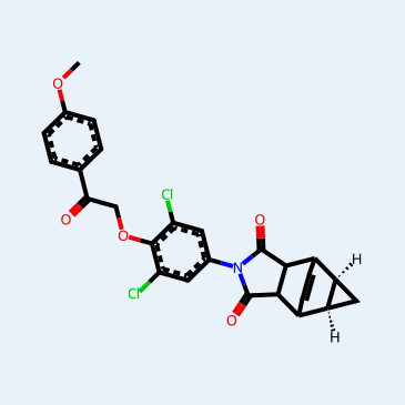 COc1ccc(C(=O)COc2c(Cl)cc(N3C(=O)C4C(C3=O)C3C=CC4[C@H]4C[C@@H]34)cc2Cl)cc1